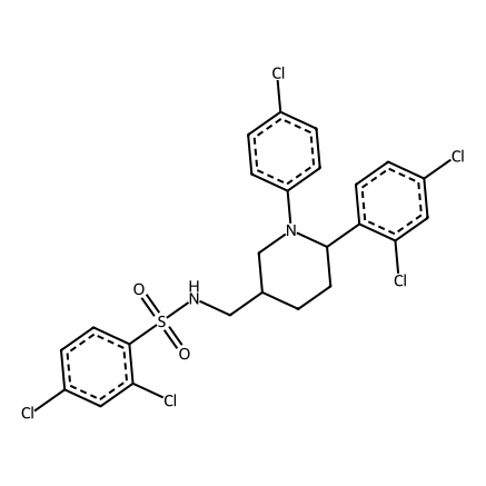 O=S(=O)(NCC1CCC(c2ccc(Cl)cc2Cl)N(c2ccc(Cl)cc2)C1)c1ccc(Cl)cc1Cl